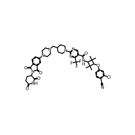 CC1(C)C(NC(=O)c2cnc(N3CCC(CN4CCN(c5ccc6c(c5)C(=O)N(C5CCC(=O)NC5=O)C6=O)CC4)CC3)nc2C(F)(F)F)C(C)(C)C1Oc1ccc(C#N)c(Cl)c1